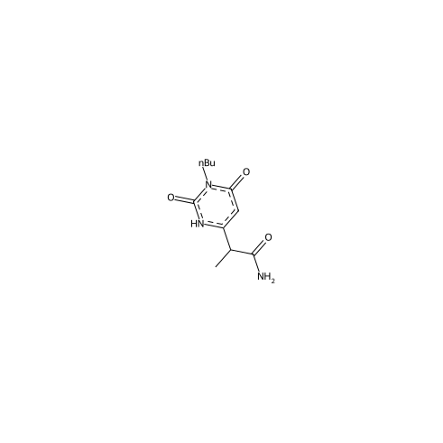 CCCCn1c(=O)cc(C(C)C(N)=O)[nH]c1=O